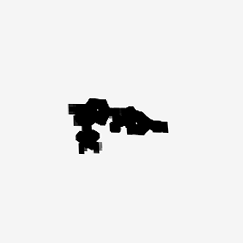 Cc1cc(C#N)cnc1C(=O)Nc1ccc2[nH]nc(N3CC(F)(F)C3)c2c1